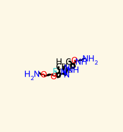 C=CCc1c(-c2cnc3c(Nc4ccc(C(=O)NCCCN)c(CC)c4)nccn23)ccc(OCC#CCOCCN)c1F